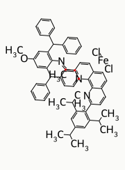 COc1cc(C(c2ccccc2)c2ccccc2)c(N=C(C)c2ccc3ccc4ccc(-c5c(C(C)C)cc(C(C)C)cc5C(C)C)nc4c3n2)c(C(c2ccccc2)c2ccccc2)c1.[Cl][Fe][Cl]